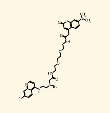 CCN(CCNc1ccnc2cc(Cl)ccc12)CC(=O)NCCOCCOCCNC(=O)Cc1cc(=O)oc2cc(N(C)C)ccc12